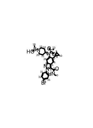 CNC(=O)c1c2cc(C3CC3)c(N(C3CCN(B(C)O)CC3)S(C)(=O)=O)cc2nn1-c1ccc(Br)cc1